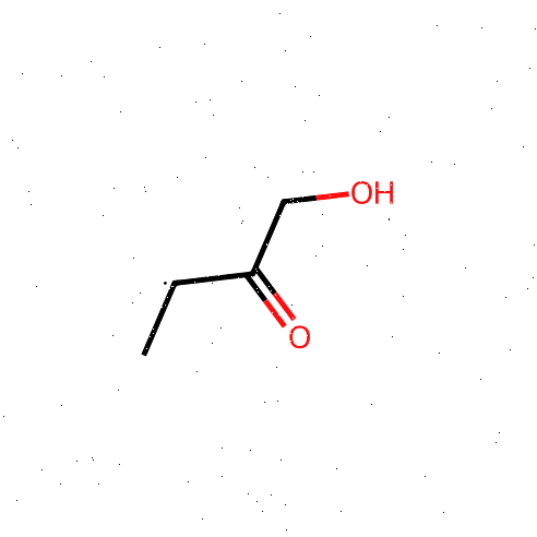 C[CH]C(=O)CO